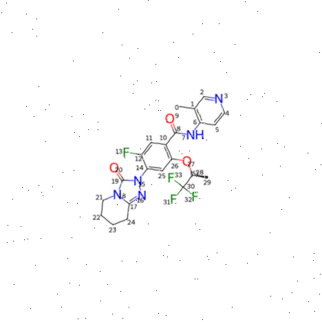 Cc1cnccc1NC(=O)c1cc(F)c(-n2nc3n(c2=O)CCCC3)cc1O[C@@H](C)C(F)(F)F